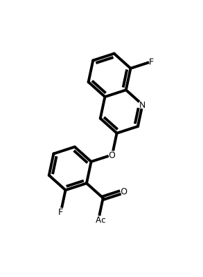 CC(=O)C(=O)c1c(F)cccc1Oc1cnc2c(F)cccc2c1